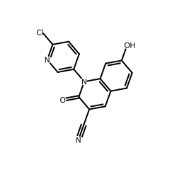 N#Cc1cc2ccc(O)cc2n(-c2ccc(Cl)nc2)c1=O